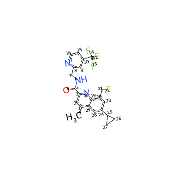 Cc1cc(C(=O)NCc2cc(C(F)(F)F)ccn2)nc2c(CF)cc(C3CC3)cc12